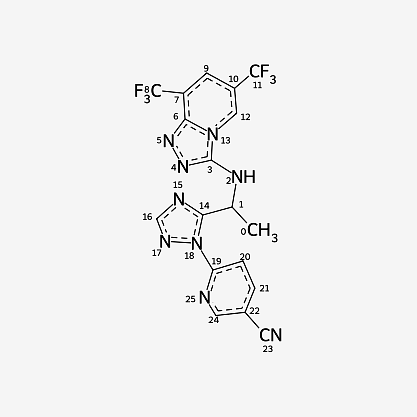 CC(Nc1nnc2c(C(F)(F)F)cc(C(F)(F)F)cn12)c1ncnn1-c1ccc(C#N)cn1